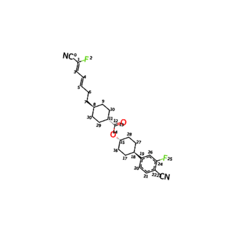 N#CC(F)=CC=CCC[C@H]1CC[C@H](C(=O)O[C@H]2CC[C@H](c3ccc(C#N)c(F)c3)CC2)CC1